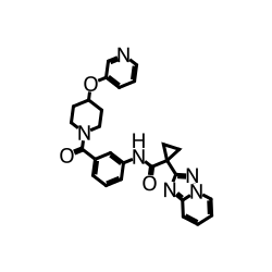 O=C(c1cccc(NC(=O)C2(c3nc4ccccn4n3)CC2)c1)N1CCC(Oc2cccnc2)CC1